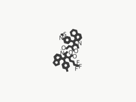 COCCC(C(=O)OC(=O)C(CCCC(F)(F)F)c1c(C)nc2ccc3c(c2c1-c1ccc(C)cc1)CCC3)c1c(C)nc2ccc3c(c2c1-c1ccc2ncsc2c1)CCCC3